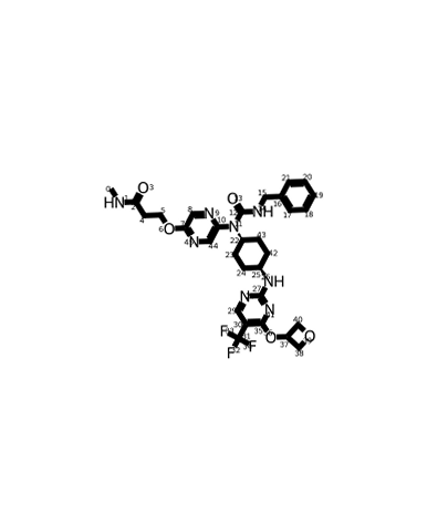 CNC(=O)CCOc1cnc(N(C(=O)NCc2ccccc2)[C@H]2CC[C@H](Nc3ncc(C(F)(F)F)c(OC4COC4)n3)CC2)cn1